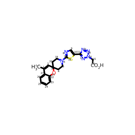 CC1=CC2(CCN(c3ncc(-c4nnn(CC(=O)O)n4)s3)CC2)Oc2ccccc21